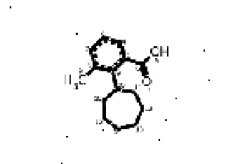 Cc1cccc(C(=O)O)c1C1CCCCCC1